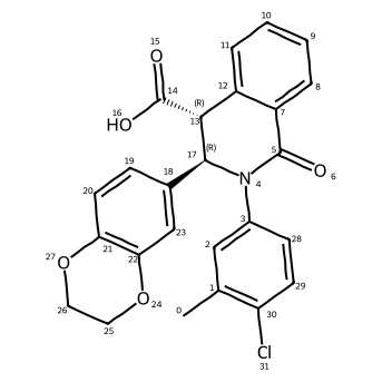 Cc1cc(N2C(=O)c3ccccc3[C@@H](C(=O)O)[C@@H]2c2ccc3c(c2)OCCO3)ccc1Cl